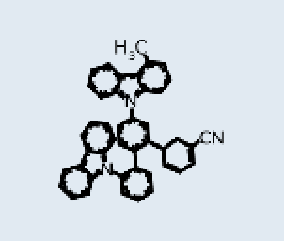 Cc1cccc2c1c1ccccc1n2-c1ccc(-c2ccccc2-n2c3ccccc3c3ccccc32)c(C2C=CC=C(C#N)C2)c1